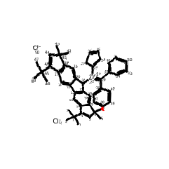 CC(C)(C)C1=CC(C)(C)c2cc3c(cc21)-c1cc2c(cc1[CH]3[Zr+2]([C]1=CC=CC1)=[C](c1ccccc1)c1ccccc1)C(C)(C)C=C2C(C)(C)C.[Cl-].[Cl-]